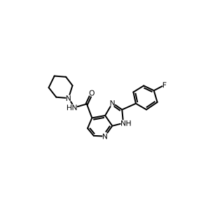 O=C(NN1CCCCC1)c1ccnc2[nH]c(-c3ccc(F)cc3)nc12